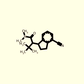 CN(C)C(=O)C(C1CCc2c(C#N)cccc21)C(C)(C)C